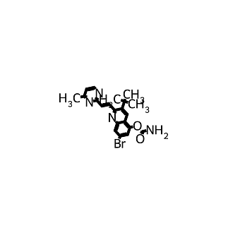 Cc1ccnc(C=Cc2nc3cc(Br)cc(OC(N)=O)c3cc2C(C)(C)C)n1